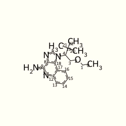 CCOCC(n1cnc2c(N)nc3ccccc3c21)C(C)(C)C